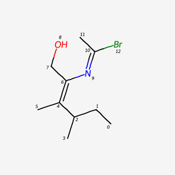 CCC(C)/C(C)=C(CO)\N=C(/C)Br